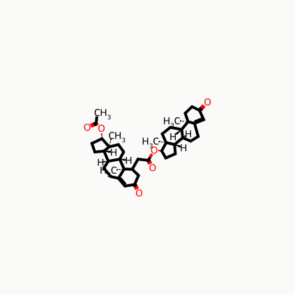 CC(=O)O[C@H]1CC[C@H]2[C@@H]3CCC4=CC(=O)CC(CC(=O)O[C@H]5CC[C@H]6[C@@H]7CCC8=CC(=O)CC[C@]8(C)[C@H]7CC[C@]56C)[C@]4(C)[C@H]3CC[C@]12C